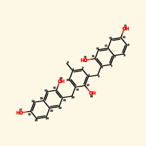 Cc1cc(Cc2cc3ccc(O)cc3cc2O)c(O)c(Cc2cc3ccc(O)cc3cc2O)c1